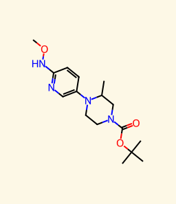 CONc1ccc(N2CCN(C(=O)OC(C)(C)C)CC2C)cn1